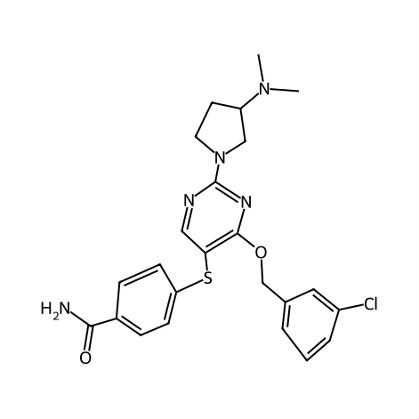 CN(C)C1CCN(c2ncc(Sc3ccc(C(N)=O)cc3)c(OCc3cccc(Cl)c3)n2)C1